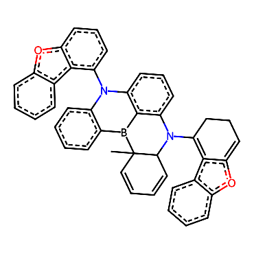 CC12C=CC=CC1N(C1=c3c(oc4ccccc34)=CCC1)c1cccc3c1B2c1ccccc1N3c1cccc2oc3ccccc3c12